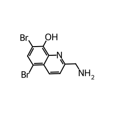 NCc1ccc2c(Br)cc(Br)c(O)c2n1